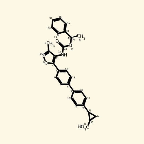 Cc1noc(-c2ccc(-c3ccc(C4CC4C(=O)O)cc3)cc2)c1NC(=O)O[C@H](C)c1ccccc1